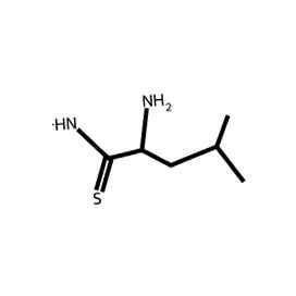 CC(C)CC(N)C([NH])=S